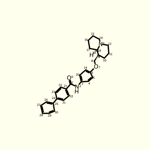 O=C(Nc1ccc(OC[C@@H]2CCCN3CCCC[C@H]23)cc1)c1ccc(-c2ccccc2)cc1